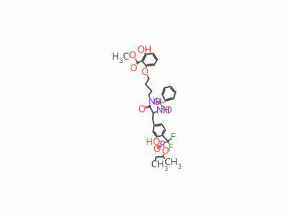 CCC(C)OP(=O)(O)C(F)(F)c1ccc(CC(NS(=O)(=O)c2ccccc2)C(=O)NCCCCOc2cccc(O)c2C(=O)OC)cc1